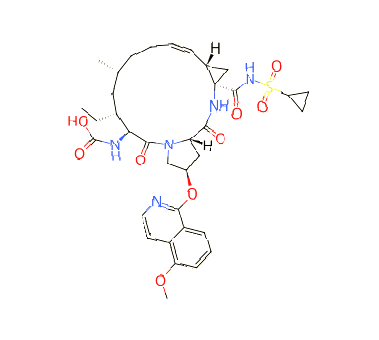 CC[C@@H]1C[C@H](C)CCC=C[C@@H]2C[C@@]2(C(=O)NS(=O)(=O)C2CC2)NC(=O)[C@@H]2C[C@@H](Oc3nccc4c(OC)cccc34)CN2C(=O)[C@H]1NC(=O)O